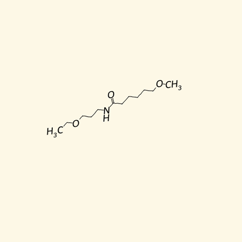 CCOCCCNC(=O)CCCCCOC